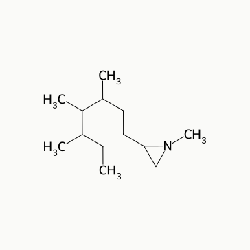 CCC(C)C(C)C(C)CCC1CN1C